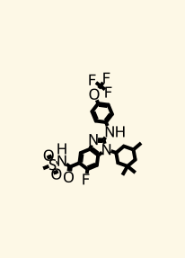 CC1CC(n2c(Nc3ccc(OC(F)(F)F)cc3)nc3cc(C(=O)NS(C)(=O)=O)c(F)cc32)CC(C)(C)C1